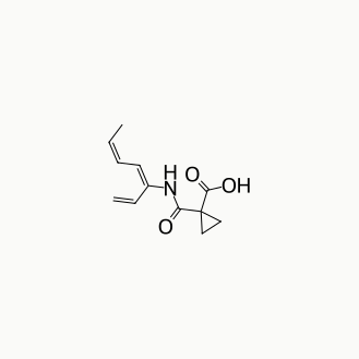 C=C/C(=C\C=C/C)NC(=O)C1(C(=O)O)CC1